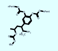 CCCCCOC(=O)Oc1ccc(C(CC(C)OC(=O)OC(C)(C)C)[C@H](N)C(=O)O)cc1OC(=O)OCCCCC